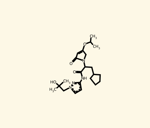 CC(C)OC1=CC(=O)N(C(CC2CCCC2)C(=O)Nc2ccn(CC(C)(C)O)n2)C1